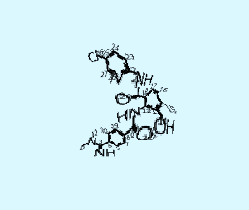 CN(C)C(=N)c1ccc(C(=O)Nc2c(O)cccc2C(=O)Nc2ccc(Cl)cn2)cc1